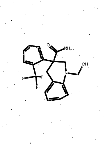 NC(=O)C1(c2ccccc2C(F)(F)F)Cc2ccccc2N(CO)C1